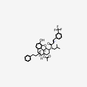 CC(=O)O[C@@]12CCC(N(CC(C)C)C(=O)/C=C/c3cccc(C(F)(F)F)c3)C3Oc4c(O)ccc5c4[C@@]31CCN(CCc1ccccc1)[C@@H]2C5